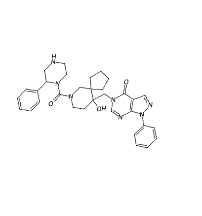 O=C(N1CCC(O)(Cn2cnc3c(cnn3-c3ccccc3)c2=O)C2(CCCC2)C1)N1CCNCC1c1ccccc1